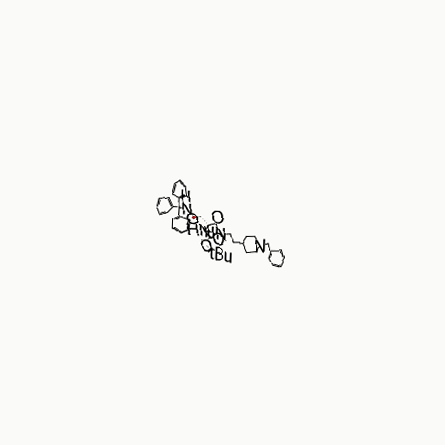 CC(C)(C)OC(=O)N[C@H](CC(=O)NC(c1ccccc1)(c1ccccc1)c1ccccc1)C(=O)NCCC1CCN(Cc2ccccc2)CC1